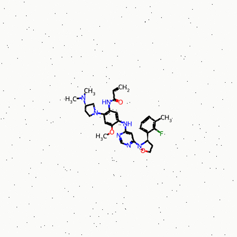 C=CC(=O)Nc1cc(Nc2cc(N3OCC[C@@H]3c3cccc(C)c3F)ncn2)c(OC)cc1N1CC[C@@H](N(C)C)C1